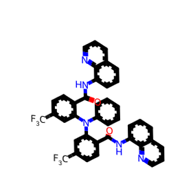 O=C(Nc1cccc2cccnc12)c1ccc(C(F)(F)F)cc1N(c1ccccc1)c1cc(C(F)(F)F)ccc1C(=O)Nc1cccc2cccnc12